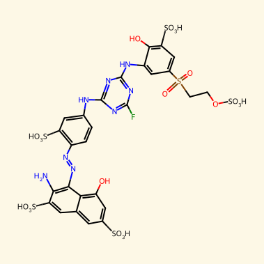 Nc1c(S(=O)(=O)O)cc2cc(S(=O)(=O)O)cc(O)c2c1/N=N/c1ccc(Nc2nc(F)nc(Nc3cc(S(=O)(=O)CCOS(=O)(=O)O)cc(S(=O)(=O)O)c3O)n2)cc1S(=O)(=O)O